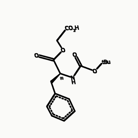 CC(C)(C)OC(=O)N[C@@H](Cc1ccccc1)C(=O)OCC(=O)O